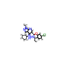 CCC(NC(=O)c1cnc2c(cnn2CC)c1NC1CCCCC1)c1ccc(Cl)cc1